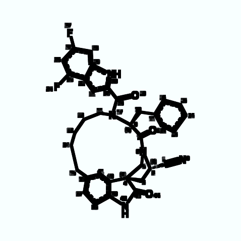 N#C[C@@H]1C[C@]23CN1C(=O)[C@H](Cc1ccccc1)N(C(=O)c1cc4c(F)cc(F)cc4[nH]1)CCCCCc1ccc(c2c1)NC3=O